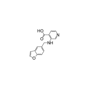 O=C(O)c1ccncc1NCc1ccc2occc2c1